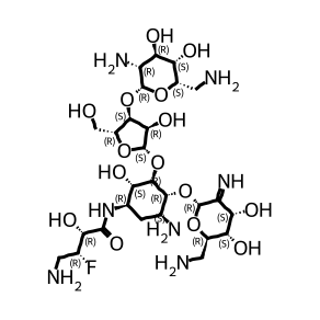 N=C1[C@@H](O[C@H]2[C@H](O[C@@H]3O[C@H](CO)[C@@H](O[C@H]4O[C@@H](CN)[C@@H](O)[C@H](O)[C@H]4N)[C@H]3O)[C@@H](O)[C@H](NC(=O)[C@@H](O)[C@H](F)CN)C[C@@H]2N)O[C@H](CN)[C@@H](O)[C@H]1O